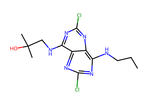 CCCNc1nc(Cl)nc2c(NCC(C)(C)O)nc(Cl)nc12